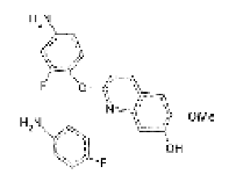 COc1cc2ccc(Oc3ccc(N)cc3F)nc2cc1O.Nc1ccc(F)cc1